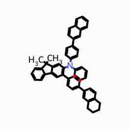 CC1(C)c2ccccc2-c2cc(-c3ccc(-c4ccc5c(c4)CCCC5)cc3)c(N(c3ccccc3)c3ccc(-c4ccc5ccccc5c4)cc3)cc21